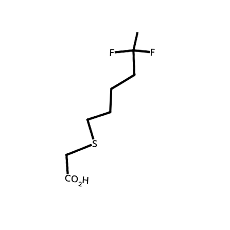 CC(F)(F)CCCCSCC(=O)O